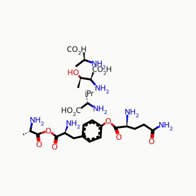 CC(C)[C@H](N)C(=O)O.C[C@@H](O)[C@H](N)C(=O)O.C[C@H](N)C(=O)O.C[C@H](N)C(=O)OC(=O)[C@@H](N)Cc1ccc(OC(=O)[C@@H](N)CCC(N)=O)cc1